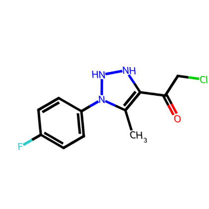 CC1=C(C(=O)CCl)NNN1c1ccc(F)cc1